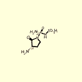 N[C@H]1CCN([P@@](N)(=O)NS(=O)(=O)O)C1=O